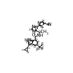 C[C@H](NC(=O)c1cc(C(F)(F)F)cc2c(C3CC3)n[nH]c12)c1ncnn1-c1ncc(C#N)s1